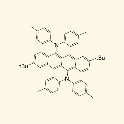 Cc1ccc(N(c2ccc(C)cc2)c2c3ccc(C(C)(C)C)cc3cc3c(N(c4ccc(C)cc4)c4ccc(C)cc4)c4ccc(C(C)(C)C)cc4cc23)cc1